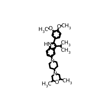 COc1ccc(-c2[nH]c3ccc(N4CCC(N5CC(C)OC(C)C5)CC4)cc3c2C(C)C)cc1OC